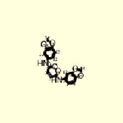 O=C(/C=C\C(=O)Nc1ccc2c(c1)OCO2)Nc1ccc2c(c1)OCO2